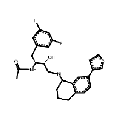 CC(=O)N[C@@H](Cc1cc(F)cc(F)c1)[C@H](O)CNC1CCCc2ccc(-c3ccsc3)cc21